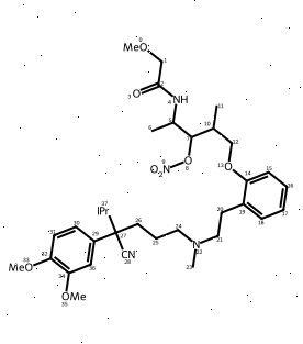 COCC(=O)NC(C)C(O[N+](=O)[O-])C(C)COc1ccccc1CCN(C)CCCC(C#N)(c1ccc(OC)c(OC)c1)C(C)C